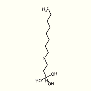 CCCCCCCCSCC[PH](O)(O)O